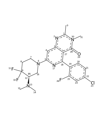 Cc1nc2cc(N3CCC(F)(F)[C@H](N(C)C)C3)nc(-c3ccc(Cl)cc3F)c2c(=O)n1C